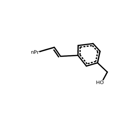 CCCC=Cc1cccc(CO)c1